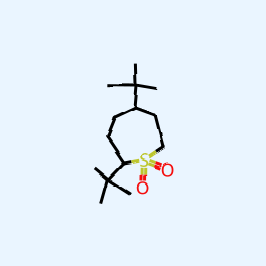 CC(C)(C)C1CCC(C(C)(C)C)S(=O)(=O)CC1